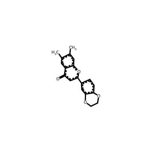 Cc1cc2oc(-c3ccc4c(c3)OCCO4)cc(=O)c2cc1C